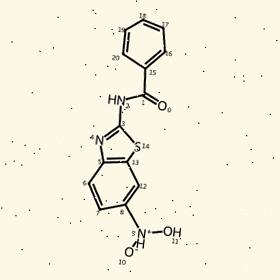 O=C(Nc1nc2ccc([NH+]([O-])O)cc2s1)c1ccccc1